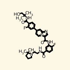 CC(C)(CO)NC(=O)c1ccc(-c2ccn3c(C(=O)Nc4cc(C(=O)NCCN5CCCC5(C)C)ccc4F)cnc3c2)cc1F